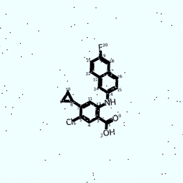 O=C(O)c1cc(Cl)c(C2CC2)cc1Nc1ccc2cc(F)ccc2c1